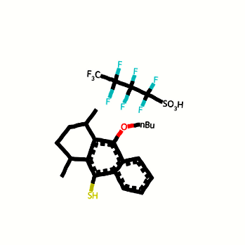 CCCCOc1c2c(c(S)c3ccccc13)C(C)CCC2C.O=S(=O)(O)C(F)(F)C(F)(F)C(F)(F)C(F)(F)F